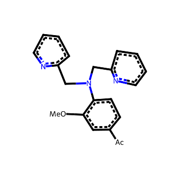 COc1cc(C(C)=O)ccc1N(Cc1ccccn1)Cc1ccccn1